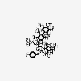 [2H]c1c([2H])c(C(F)(F)F)c([2H])c([2H])c1-c1c([2H])c([2H])c(C([2H])([2H])N(CCN(CC)CC)C(=O)Cn2c(SCc3ccc(F)cc3)nc(=O)c3c2C([2H])([2H])C([2H])(C)C3([2H])[2H])c([2H])c1[2H]